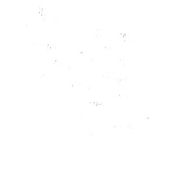 CCCCNc1cc(C(=O)N2CCNCC2)cc(S(N)(=O)=O)c1Oc1ccccc1